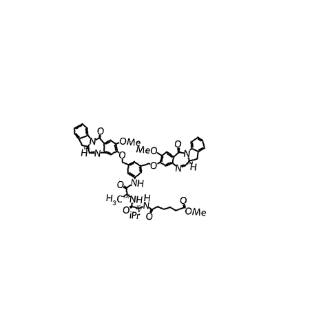 COC(=O)CCCCC(=O)N[C@H](C(=O)N[C@@H](C)C(=O)Nc1cc(COc2cc3c(cc2OC)C(=O)N2c4ccccc4C[C@H]2C=N3)cc(COc2cc3c(cc2OC)C(=O)N2c4ccccc4C[C@H]2C=N3)c1)C(C)C